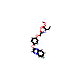 CCC(NC(=O)COc1ccc(Oc2cnc3cc(Cl)ccc3n2)cc1)C(=O)OC